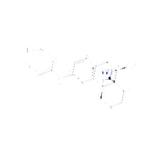 CC(C)CC(OC(=O)O)Oc1ccc2c(c1)[C@@]13CCCC[C@H]1[C@@H](C2)NCC3